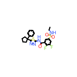 CCNS(=O)(=O)c1cc(F)c(F)c(C(=O)Nc2nnc(C3(c4ccccc4)CCCC3)s2)c1